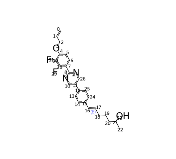 C=CCOc1ccc(-c2ncc(-c3ccc(/C=C/CCCC(C)O)cc3)cn2)c(F)c1F